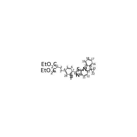 CCOC(=O)C(CCc1ccc(-c2nc3ccc(C4(c5ccccc5)CC4)nc3s2)c(F)c1)C(=O)OCC